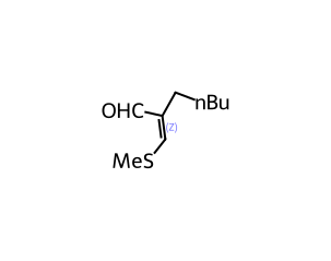 CCCCC/C(C=O)=C/SC